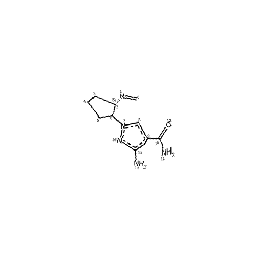 C=N[C@H]1CCCC1n1cc(C(N)=O)c(N)n1